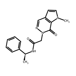 C[C@H](NC(=O)Cn1ncc2ccn(C)c2c1=O)c1ccccc1